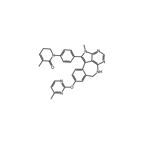 CC1=CCCN(c2ccc(-c3c4c5c(ncnc5n3C)NCc3cc(Oc5nccc(C)n5)ccc3-4)cc2)C1=O